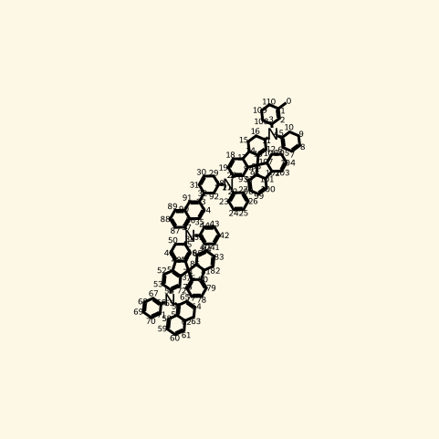 CC1=CC(N(C2=CC=CCC2)C2C=C3C(CC2)C2C=CC(N(c4ccccc4)C4CC=CC(c5ccc6c(N(c7ccccc7)C7C=C8C(=CC7)c7ccc(N(C9=C%10C=CC=CC%10CC=C9)c9ccccc9)cc7C87c8ccccc8C8C=CC=CC87)cccc6c5)C4)=CC2C32C3C=CC=CC3C3C=CCCC32)CCC1